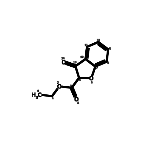 CCOC(=O)C1Oc2ccccc2C1=O